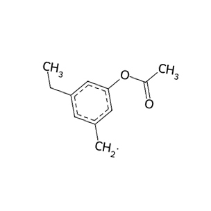 [CH2]c1cc(CC)cc(OC(C)=O)c1